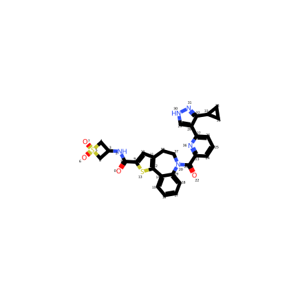 O=C(NC1CS(=O)(=O)C1)c1cc2c(s1)-c1ccccc1N(C(=O)c1cccc(-c3c[nH]nc3C3CC3)n1)CC2